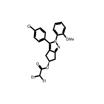 CCC(CC)C(=O)O[C@@H]1Cc2nn(-c3ccccc3OC)c(-c3ccc(Cl)cc3)c2C1